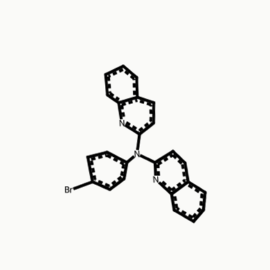 Brc1ccc(N(c2ccc3ccccc3n2)c2ccc3ccccc3n2)cc1